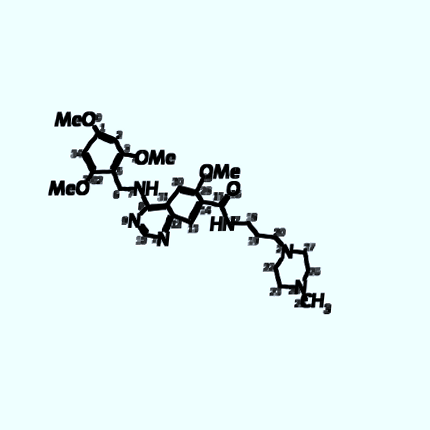 COc1cc(OC)c(CNc2ncnc3cc(C(=O)NCCCN4CCN(C)CC4)c(OC)cc23)c(OC)c1